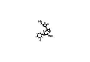 N=Cc1cc(-c2cnn3c(N)cc(C4CCCNC4)nc23)co1